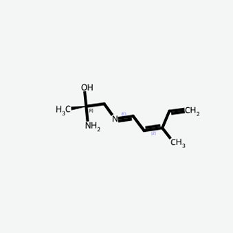 C=C/C(C)=C\C=N\C[C@](C)(N)O